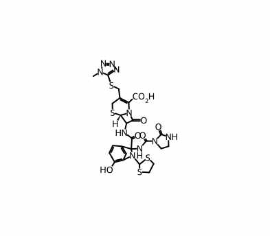 Cn1nnnc1SCC1=C(C(=O)O)N2C(=O)C(NC(=O)C3(NC(=O)N4CCNC4=O)c4ccc(O)c(c4)N3C3SCCS3)[C@@H]2SC1